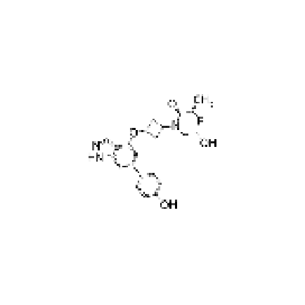 C=C(F)C(=O)N(CCO)C1CC(Oc2cc(-c3ccc(O)cc3)cc3[nH]ncc23)C1